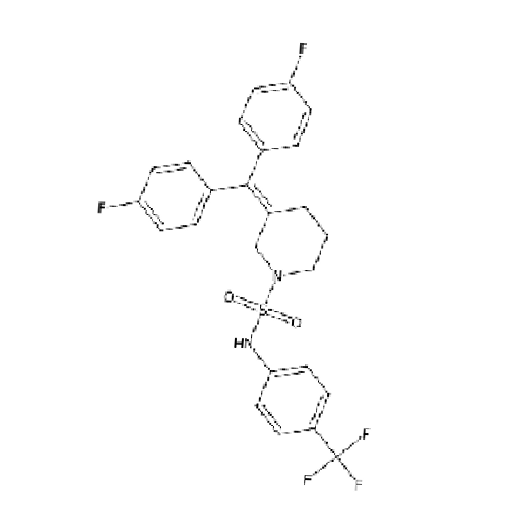 O=S(=O)(Nc1ccc(C(F)(F)F)cc1)N1CCCC(=C(c2ccc(F)cc2)c2ccc(F)cc2)C1